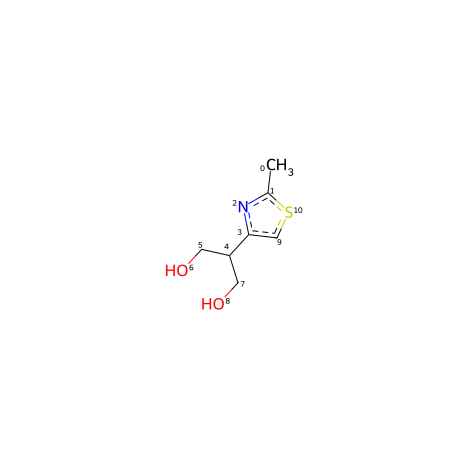 Cc1nc(C(CO)CO)cs1